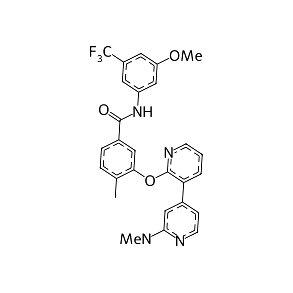 CNc1cc(-c2cccnc2Oc2cc(C(=O)Nc3cc(OC)cc(C(F)(F)F)c3)ccc2C)ccn1